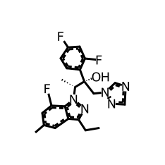 CCc1nn([C@H](C)[C@](O)(Cn2cncn2)c2ccc(F)cc2F)c2c(F)cc(C)cc12